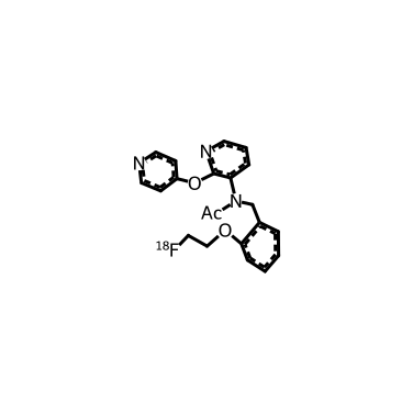 CC(=O)N(Cc1ccccc1OCC[18F])c1cccnc1Oc1ccncc1